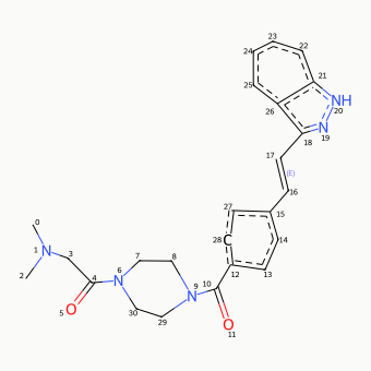 CN(C)CC(=O)N1CCN(C(=O)c2ccc(/C=C/c3n[nH]c4ccccc34)cc2)CC1